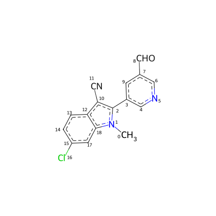 Cn1c(-c2cncc(C=O)c2)c(C#N)c2ccc(Cl)cc21